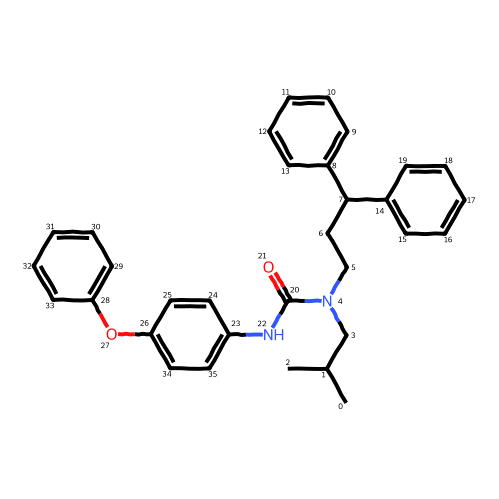 CC(C)CN(CCC(c1ccccc1)c1ccccc1)C(=O)Nc1ccc(Oc2ccccc2)cc1